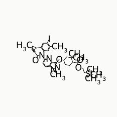 CC#CC(=O)N(c1ccc2c(n1)c(OC1CCC(C(=O)OCC[Si](C)(C)C)C(C)(C)C1)nn2C)c1cc(C)c(I)cc1C1CC1